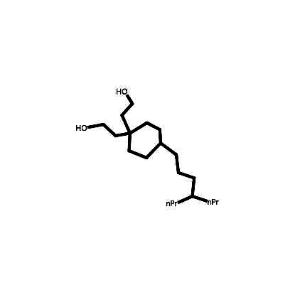 CCCC(CCC)CCCC1CCC(CCO)(CCO)CC1